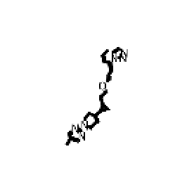 C\C=C/C(=C\C=C\OCCC1CC1C1CCN(c2ncc(C)cn2)CC1)n1ccnn1